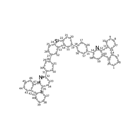 c1ccc2c(c1)c1ccccc1c1nc(-c3ccc(-c4ccc5sc6ccc(-c7ccc(-c8ccc9c%10ccccc%10c%10ccccc%10c9n8)cc7)cc6c5c4)cc3)ccc21